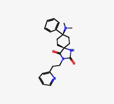 CN(C)[C@]1(c2ccccc2)CC[C@@]2(CC1)NC(=O)N(CCc1ccccn1)C2=O